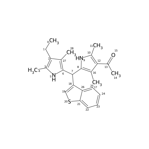 CCc1c(C)[nH]c(C(c2[nH]c(C)c(C(C)=O)c2C)c2csc3ccccc23)c1C